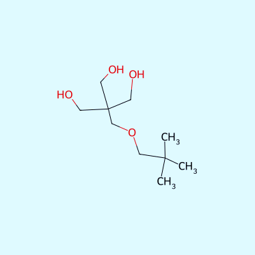 CC(C)(C)COCC(CO)(CO)CO